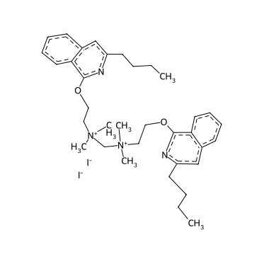 CCCCc1cc2ccccc2c(OCC[N+](C)(C)C[N+](C)(C)CCOc2nc(CCCC)cc3ccccc23)n1.[I-].[I-]